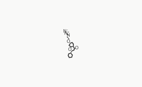 [N-]=[N+]=NCCOc1ccc2c(=O)cc(-c3ccccc3)oc2c1